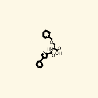 O=C(N[C@@H](COCc1ccccc1)C(=O)O)c1cc(-c2ccccc2)cs1